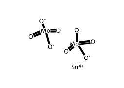 [O]=[Mo](=[O])([O-])[O-].[O]=[Mo](=[O])([O-])[O-].[Sn+4]